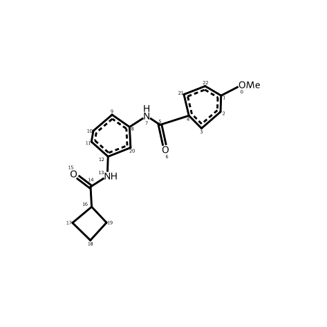 COc1ccc(C(=O)Nc2cccc(NC(=O)C3CCC3)c2)cc1